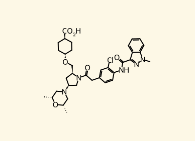 C[C@@H]1CN([C@H]2C[C@@H](CO[C@H]3CC[C@H](C(=O)O)CC3)N(C(=O)Cc3ccc(NC(=O)c4nn(C)c5ccccc45)c(Cl)c3)C2)C[C@H](C)O1